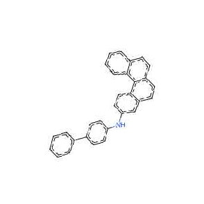 c1ccc(-c2ccc(Nc3ccc4c(ccc5ccc6ccccc6c54)c3)cc2)cc1